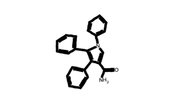 NC(=O)c1cn(-c2ccccc2)c(-c2ccccc2)c1-c1ccccc1